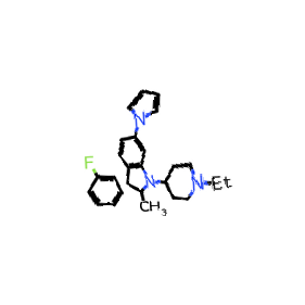 CCN1CCC(N2c3cc(-n4cccc4)ccc3CC2C)CC1.Fc1ccccc1